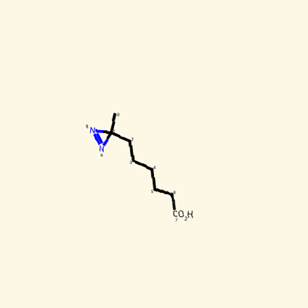 CC1(CCCCCC(=O)O)N=N1